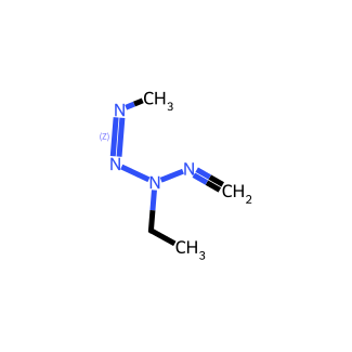 C=NN(CC)/N=N\C